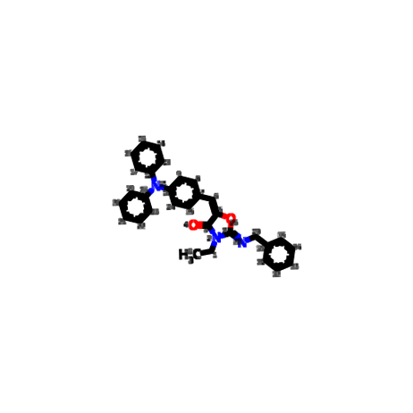 CCN1C(=O)/C(=C\c2ccc(N(c3ccccc3)c3ccccc3)cc2)O/C1=N\Cc1ccccc1